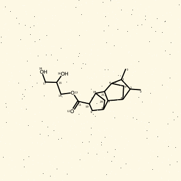 CC1C(C)C2CC1C1C3CC(C(=O)OCC(O)CO)C(C3)C21